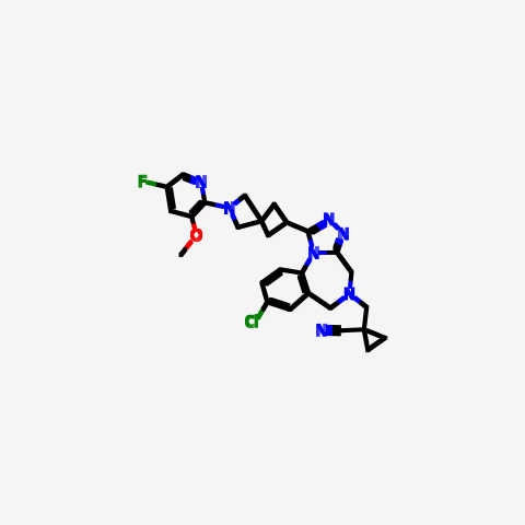 COc1cc(F)cnc1N1CC2(CC(c3nnc4n3-c3ccc(Cl)cc3CN(CC3(C#N)CC3)C4)C2)C1